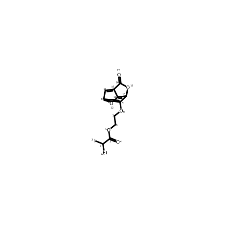 CCC(I)C(=O)OCCOc1c2c3oc1cc3C(=O)O2